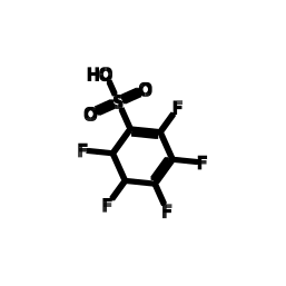 O=S(=O)(O)C1=C(F)C(F)=C(F)C(F)C1F